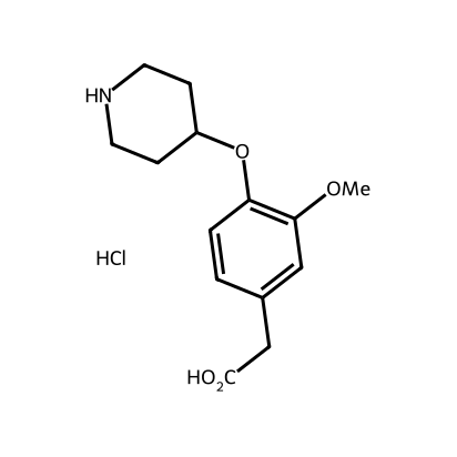 COc1cc(CC(=O)O)ccc1OC1CCNCC1.Cl